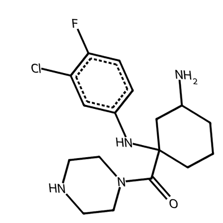 NC1CCCC(Nc2ccc(F)c(Cl)c2)(C(=O)N2CCNCC2)C1